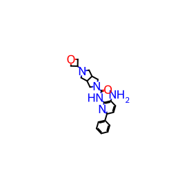 Nc1ccc(-c2ccccc2)nc1NC(=O)N1CC2CN(C3COC3)CC2C1